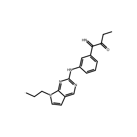 [CH2]CCn1ccc2cnc(Nc3cccc(C(=N)C(=O)CC)c3)nc21